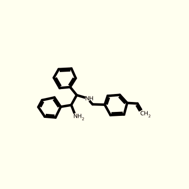 C=Cc1ccc(CNC(c2ccccc2)C(N)c2ccccc2)cc1